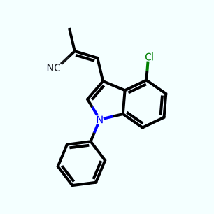 C/C(C#N)=C/c1cn(-c2ccccc2)c2cccc(Cl)c12